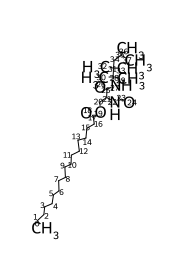 CCCCCCCCCCCCCCCCCC(=O)OCC(NC=O)C(=O)NC(C)(C)C(C)(C)CC(C)C